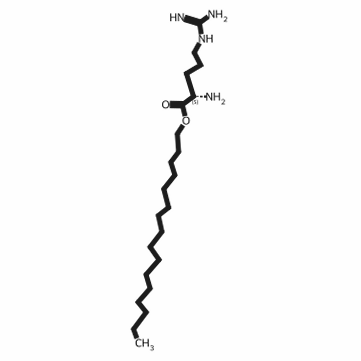 CCCCCCCCCCCCCCCCOC(=O)[C@@H](N)CCCNC(=N)N